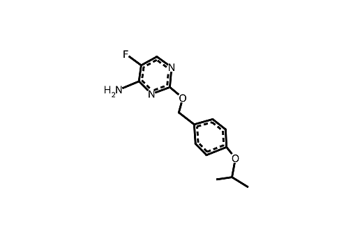 CC(C)Oc1ccc(COc2ncc(F)c(N)n2)cc1